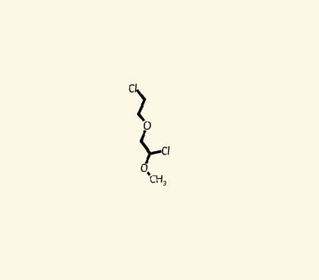 COC(Cl)COCCCl